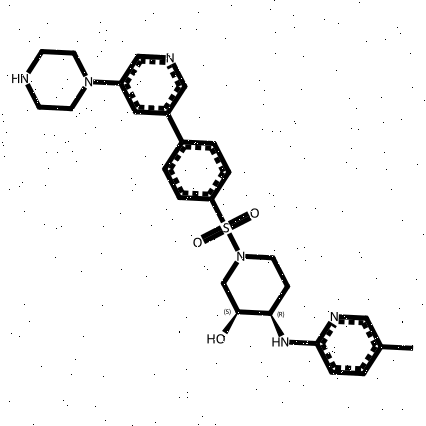 Cc1ccc(N[C@@H]2CCN(S(=O)(=O)c3ccc(-c4cncc(N5CCNCC5)c4)cc3)C[C@@H]2O)nc1